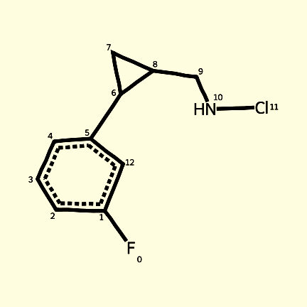 Fc1cccc(C2CC2CNCl)c1